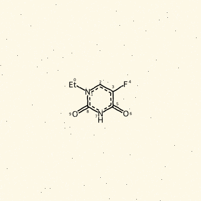 CCn1cc(F)c(=O)[nH]c1=O